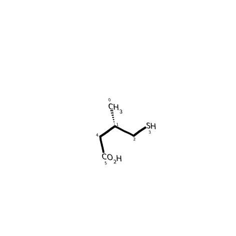 C[C@H](CS)CC(=O)O